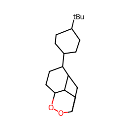 CC(C)(C)C1CCC(C2CCC3OOC4CC3C2C4)CC1